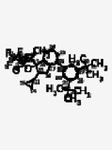 C[SiH](C)C1(OS(=O)(=O)C(F)(F)F)C(C2CC2)=Cc2c(-c3cc(C(C)(C)C)cc(C(C)(C)C)c3)cccc21